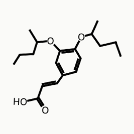 CCCC(C)Oc1ccc(C=CC(=O)O)cc1OC(C)CCC